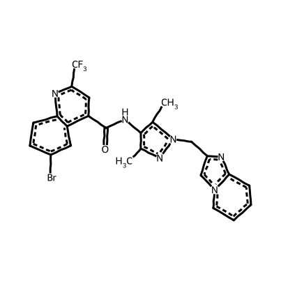 Cc1nn(Cc2cn3ccccc3n2)c(C)c1NC(=O)c1cc(C(F)(F)F)nc2ccc(Br)cc12